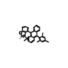 Cc1cc(C)c(-c2c3ccccc3c(-c3cccc4c3P(C(C)(C)C)[C@H](C)O4)c3ccccc23)c(C)c1